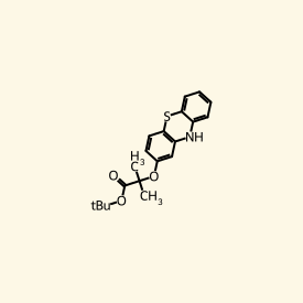 CC(C)(C)OC(=O)C(C)(C)Oc1ccc2c(c1)Nc1ccccc1S2